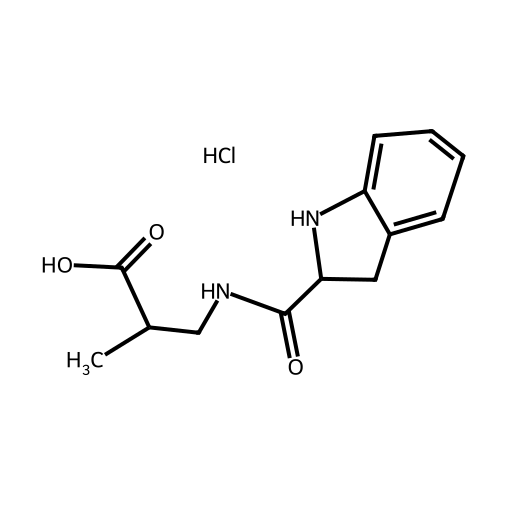 CC(CNC(=O)C1Cc2ccccc2N1)C(=O)O.Cl